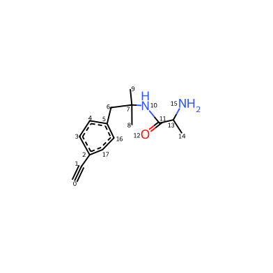 C#Cc1ccc(CC(C)(C)NC(=O)C(C)N)cc1